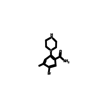 Cc1cc(N2CCNCC2)c(C(N)=O)cc1Br